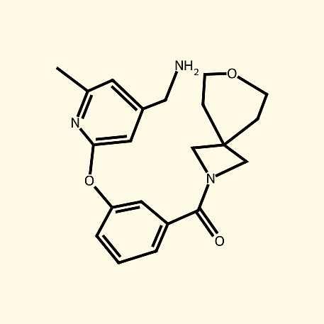 Cc1cc(CN)cc(Oc2cccc(C(=O)N3CC4(CCOCC4)C3)c2)n1